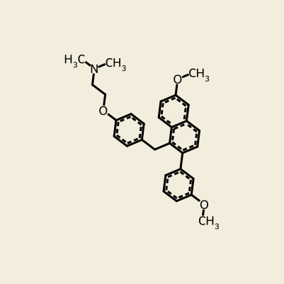 COc1cccc(-c2ccc3cc(OC)ccc3c2Cc2ccc(OCCN(C)C)cc2)c1